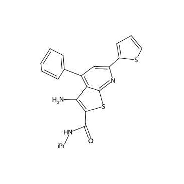 CC(C)NC(=O)c1sc2nc(-c3cccs3)cc(-c3ccccc3)c2c1N